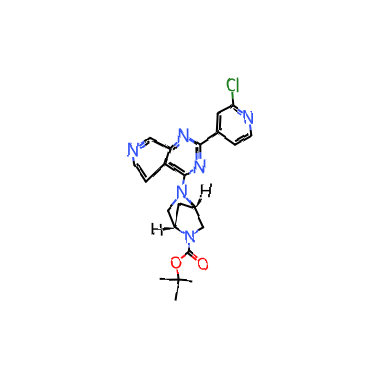 CC(C)(C)OC(=O)N1C[C@@H]2C[C@H]1CN2c1nc(-c2ccnc(Cl)c2)nc2cnccc12